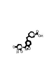 O=C1CCN(c2noc3ccc(CC4CCCN(C(=O)O)CC4)cc23)C(=O)N1